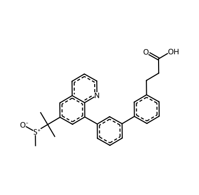 C[S+]([O-])C(C)(C)c1cc(-c2cccc(-c3cccc(CCC(=O)O)c3)c2)c2ncccc2c1